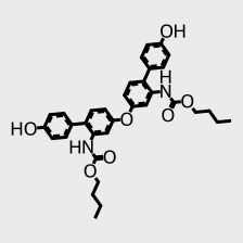 CCCCOC(=O)Nc1cc(Oc2ccc(-c3ccc(O)cc3)c(NC(=O)OCCCC)c2)ccc1-c1ccc(O)cc1